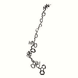 C[Si](C)(CCCNC(=O)OCC1c2ccccc2C2C=CC=CC21)O[Si](C)(C)c1cccc(CC(=O)NCCOCCOCCOCCOCCOCCN=[N+]=[N-])c1